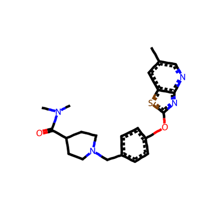 Cc1cnc2nc(Oc3ccc(CN4CCC(C(=O)N(C)C)CC4)cc3)sc2c1